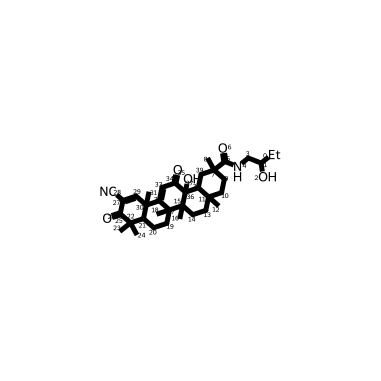 CCC(O)CNC(=O)C1(C)CCC2(C)CCC3(C)C4(C)CCC5C(C)(C)C(=O)C(C#N)=CC5(C)C4=CC(=O)C3(O)C2C1